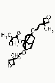 C=C(C)C(=O)OC12CC3CC(OCCC4(C)COC4)(CC(OCCC4(C)COC4)(C3)C1)C2